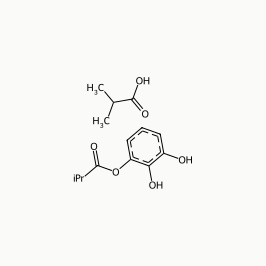 CC(C)C(=O)O.CC(C)C(=O)Oc1cccc(O)c1O